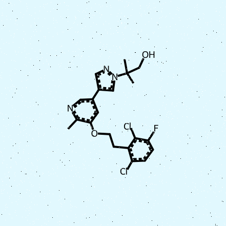 Cc1ncc(-c2cnn(C(C)(C)CO)c2)cc1OCCc1c(Cl)ccc(F)c1Cl